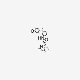 CCC1C(C)=CC(C)=NC1SCC(=O)Nc1cccc(C(C)c2ccc(OC)cc2)c1